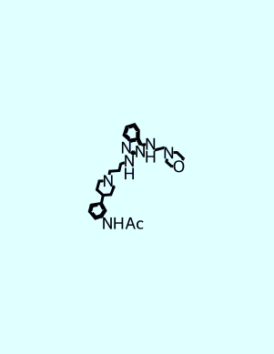 CC(=O)Nc1cccc(C2CCN(CCCNc3nc(NCCN4CCOCC4)c4ccccc4n3)CC2)c1